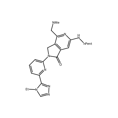 CCCCCNc1cc2c(c(CNC)n1)CN(c1cccc(-c3nncn3CC)n1)C2=O